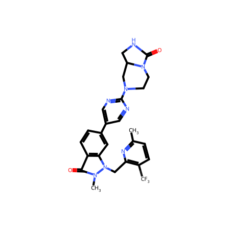 Cc1ccc(C(F)(F)F)c(Cn2c3cc(-c4cnc(N5CCN6C(=O)NCC6C5)nc4)ccc3c(=O)n2C)n1